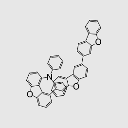 c1ccc(N(c2ccccc2)c2cccc3oc4cccc(-c5ccc6c(c5)oc5ccc(-c7ccc8c(c7)oc7ccccc78)cc56)c4c23)cc1